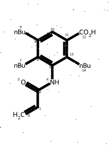 C=CC(=O)Nc1c(CCCC)c(CCCC)cc(C(=O)O)c1CCCC